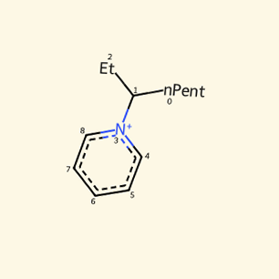 CCCCCC(CC)[n+]1ccccc1